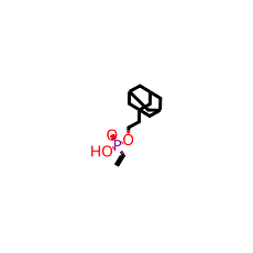 C=CP(=O)(O)OCCC12CC3CC(CC(C3)C1)C2